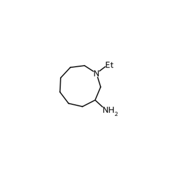 CCN1CCCCCCC(N)C1